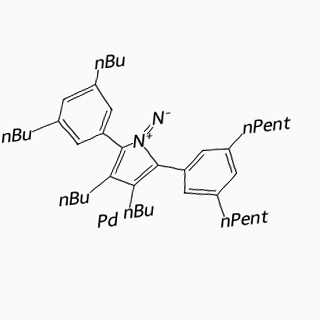 CCCCCc1cc(CCCCC)cc(C2=C(CCCC)C(CCCC)=C(c3cc(CCCC)cc(CCCC)c3)[N+]2=[N-])c1.[Pd]